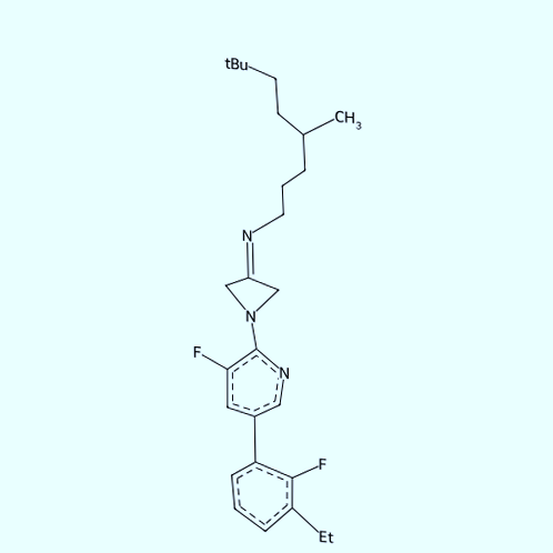 CCc1cccc(-c2cnc(N3CC(=NCCCC(C)CCC(C)(C)C)C3)c(F)c2)c1F